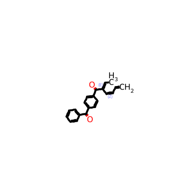 C=C/C=C\C(=C/C)C(=O)c1ccc(C(=O)c2ccccc2)cc1